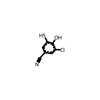 N#Cc1cc(S)c(O)c(Cl)c1